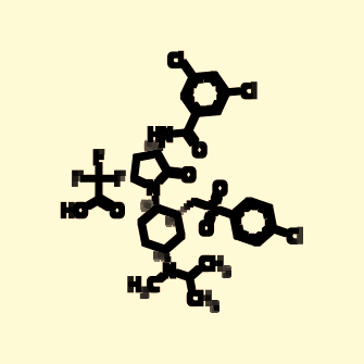 CC(C)N(C)[C@@H]1CC[C@H](N2CC[C@H](NC(=O)c3cc(Cl)cc(Cl)c3)C2=O)[C@H](CS(=O)(=O)c2ccc(Cl)cc2)C1.O=C(O)C(F)(F)F